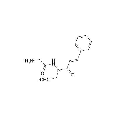 NCC(=O)NN(C[C]=O)C(=O)C=Cc1ccccc1